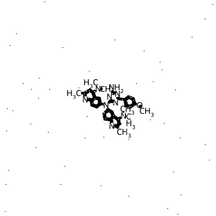 COc1ccc(-c2nc(N)nc(N(c3ccc4nc(C)cc(N(C)C)c4c3)c3ccc4nc(C)cc(N(C)C)c4c3)n2)cc1